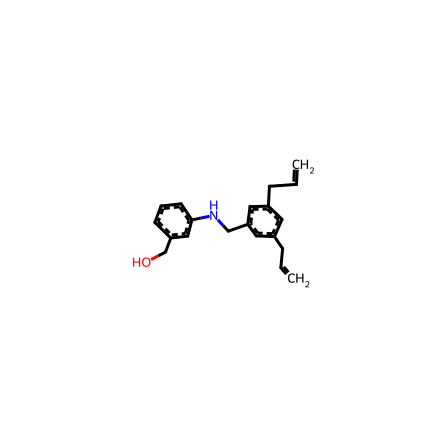 C=CCc1cc(CC=C)cc(CNc2cccc(CO)c2)c1